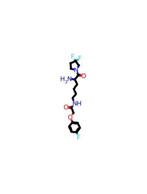 NC(CCCCNC(=O)COc1ccc(F)cc1)C(=O)N1CCC(F)(F)C1